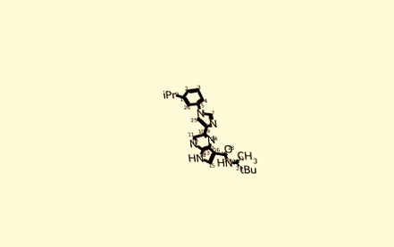 CC(C)c1cccc(-n2cnc(-c3cnc4[nH]cc(C(=O)N[C@@H](C)C(C)(C)C)c4n3)c2)c1